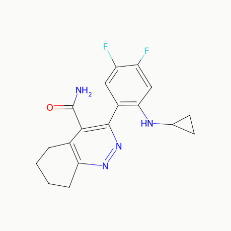 NC(=O)c1c(-c2cc(F)c(F)cc2NC2CC2)nnc2c1CCCC2